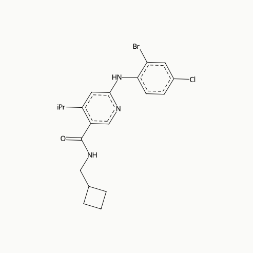 CC(C)c1cc(Nc2ccc(Cl)cc2Br)ncc1C(=O)NCC1CCC1